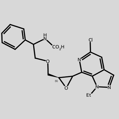 CCn1ncc2cc(Cl)nc(C3O[C@H]3COCC(NC(=O)O)c3ccccc3)c21